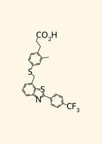 Cc1cc(SCc2cccc3nc(-c4ccc(C(F)(F)F)cc4)sc23)ccc1CCC(=O)O